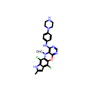 Cc1cc2c(F)c(Oc3ncnc(Nc4ccc(N5CCNCC5)cc4)c3NC=O)cc(F)c2[nH]1